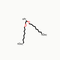 [CH2]CC[C@@H](COCCCCCCCCCCCCCCCCCC)OCCCCCCCCCCCCCCCCCC